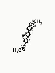 CCC(=O)OCc1ccc(-c2ccc(-c3ccc(OC(=O)CC)cc3)cc2F)cc1